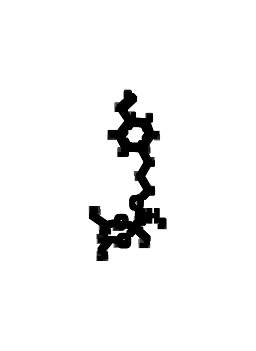 C=Cc1ccc(CCCO[SiH2]C(C)(OCC)OCC)cc1